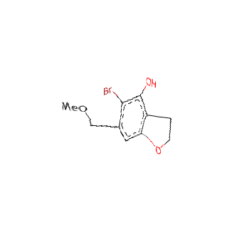 COCc1cc2c(c(O)c1Br)CCO2